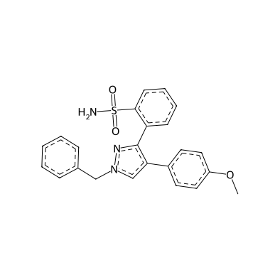 COc1ccc(-c2cn(Cc3ccccc3)nc2-c2ccccc2S(N)(=O)=O)cc1